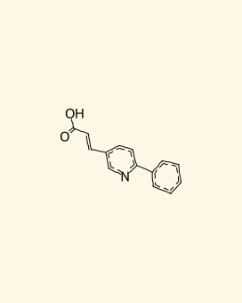 O=C(O)C=Cc1ccc(-c2ccccc2)nc1